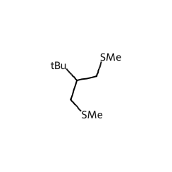 CSCC(CSC)C(C)(C)C